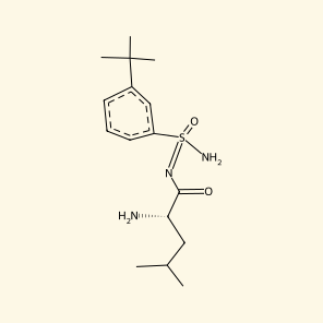 CC(C)C[C@H](N)C(=O)N=S(N)(=O)c1cccc(C(C)(C)C)c1